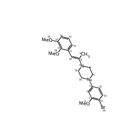 COc1cc(N2CCN(C(C)=Cc3cccc(OC)c3OC)CC2)ccc1Br